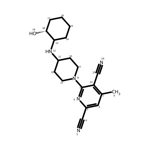 Cc1cc(C#N)nc(N2CCC(NC3CCCC[C@H]3O)CC2)c1C#N